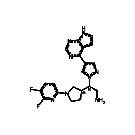 NC[C@@H]([C@H]1CCN(c2ccc(F)c(F)n2)C1)n1cc(-c2ncnc3[nH]ccc23)cn1